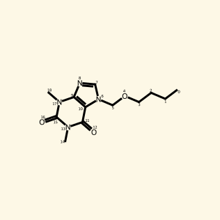 CCCCOCn1cnc2c1c(=O)n(C)c(=O)n2C